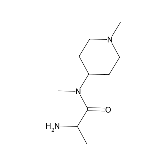 CC(N)C(=O)N(C)C1CCN(C)CC1